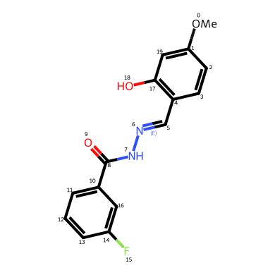 COc1ccc(/C=N/NC(=O)c2cccc(F)c2)c(O)c1